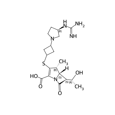 C[C@@H](O)[C@H]1C(=O)N2C(C(=O)O)=C(SC3CC(N4CC[C@@H](NC(=N)N)C4)C3)[C@H](C)[C@H]12